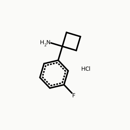 Cl.NC1(c2cccc(F)c2)CCC1